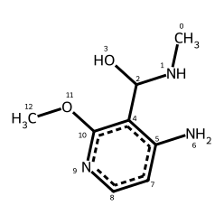 CNC(O)c1c(N)ccnc1OC